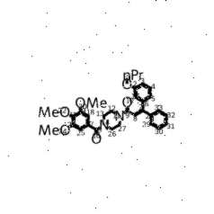 CCCOc1cccc(/C(=C\C(=O)N2CCN(C(=O)c3cc(OC)c(OC)c(OC)c3)CC2)c2ccccc2)c1